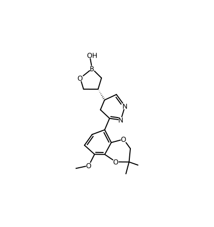 COc1ccc(C2=NN=CC([C@@H]3COB(O)C3)C2)c2c1OC(C)(C)CO2